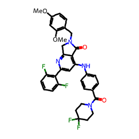 COc1ccc(CN2Cc3nc(-c4c(F)cccc4F)cc(Nc4ccc(C(=O)N5CCC(F)(F)CC5)cc4)c3C2=O)c(OC)c1